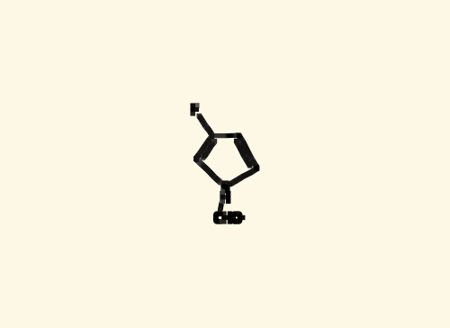 O=[C][SH]1C=CC(F)=C1